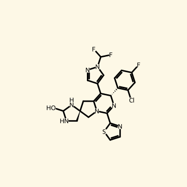 OC1NC[C@]2(CC3=C(c4cnn(C(F)F)c4)[C@H](c4ccc(F)cc4Cl)N=C(c4nccs4)N3C2)N1